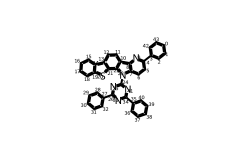 c1ccc(-c2ccc3c(n2)c2ccc4c5ccccc5sc4c2n3-c2nc(-c3ccccc3)nc(-c3ccccc3)n2)cc1